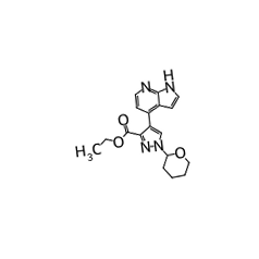 CCOC(=O)c1nn(C2CCCCO2)cc1-c1ccnc2[nH]ccc12